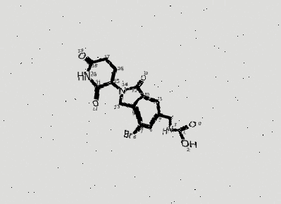 O=C(O)NCc1cc(Br)c2c(c1)C(=O)N(C1CCC(=O)NC1=O)C2